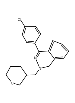 Clc1ccc(C2=NN(CC3CCCOC3)Cc3ccccc32)cc1